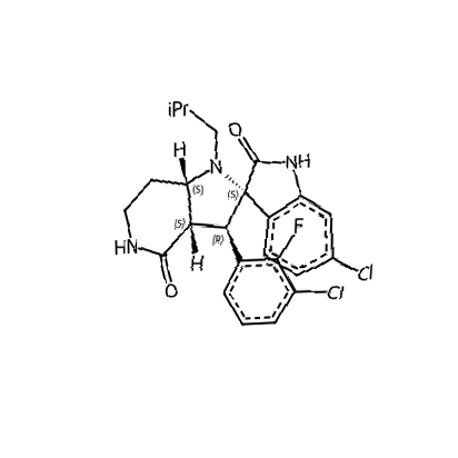 CC(C)CN1[C@H]2CCNC(=O)[C@H]2[C@H](c2cccc(Cl)c2F)[C@]12C(=O)Nc1cc(Cl)ccc12